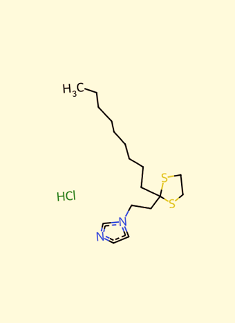 CCCCCCCCCC1(CCn2ccnc2)SCCS1.Cl